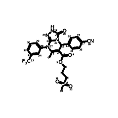 CC1=C(C(=O)OCCCS(C)(=O)=O)C(c2ccc(C#N)cc2)n2c(n[nH]c2=O)N1c1cccc(C(F)(F)F)c1